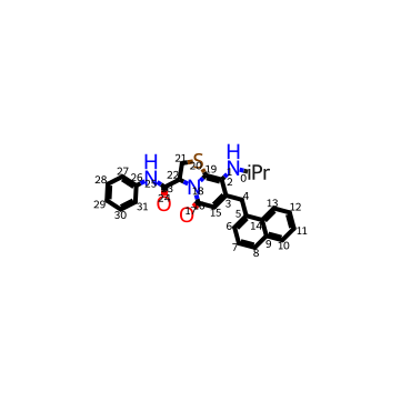 CC(C)Nc1c(Cc2cccc3ccccc23)cc(=O)n2c1SCC2C(=O)Nc1ccccc1